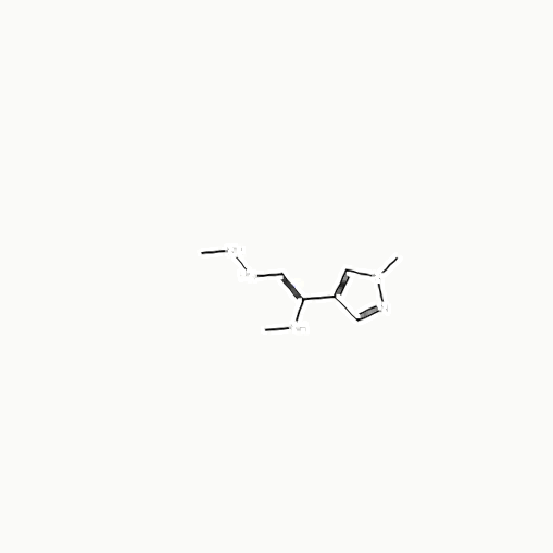 CNN/C=C(\NC)c1cnn(C)c1